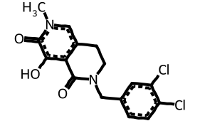 Cn1cc2c(c(O)c1=O)C(=O)N(Cc1ccc(Cl)c(Cl)c1)CC2